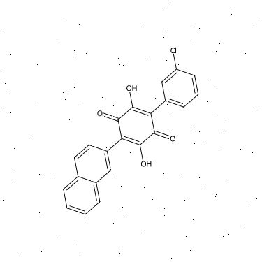 O=C1C(O)=C(c2ccc3ccccc3c2)C(=O)C(O)=C1c1cccc(Cl)c1